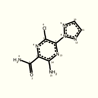 NC(=O)c1nc(Cl)c(-n2nccn2)nc1N